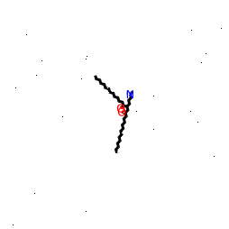 CCCCCCCCCCCCCC(=O)CC(CCCN(C)C)C(=O)CCCCCCCCCCCCC